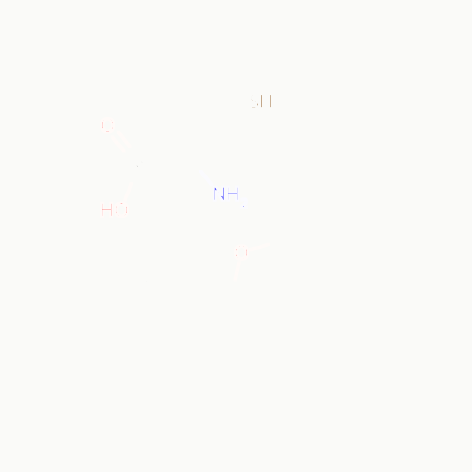 NC(CS)C(=O)O.c1ccc(C2CCc3ccccc3O2)cc1